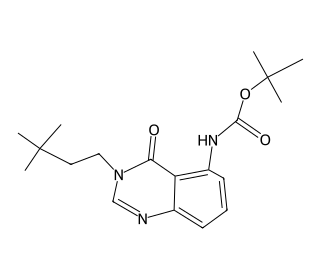 CC(C)(C)CCn1cnc2cccc(NC(=O)OC(C)(C)C)c2c1=O